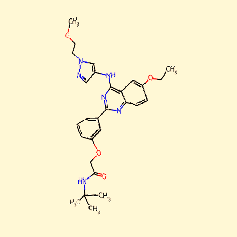 CCOc1ccc2nc(-c3cccc(OCC(=O)NC(C)(C)C)c3)nc(Nc3cnn(CCOC)c3)c2c1